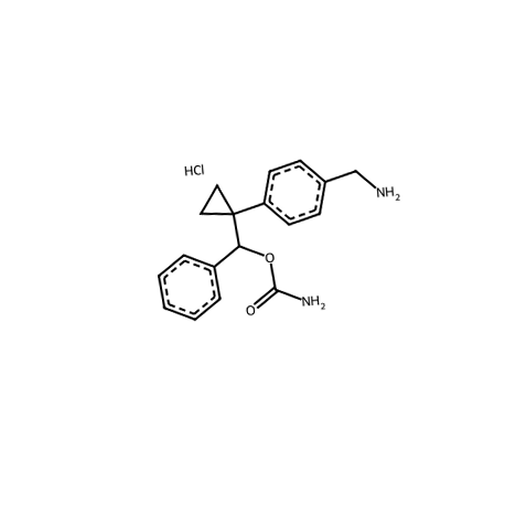 Cl.NCc1ccc(C2(C(OC(N)=O)c3ccccc3)CC2)cc1